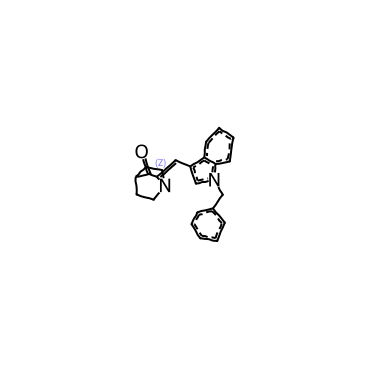 O=C1/C(=C/c2cn(Cc3ccccc3)c3ccccc23)N2CCC1CC2